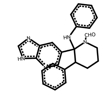 O=CN1CCCC(c2ccccc2)C1(Nc1ccccc1)c1cnc2[nH]cnc2c1